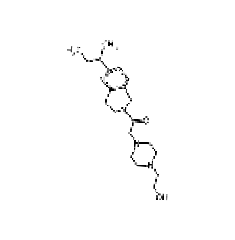 CCC(C)c1ccc2c(n1)CCN(C(=O)CN1CCN(CCO)CC1)C2